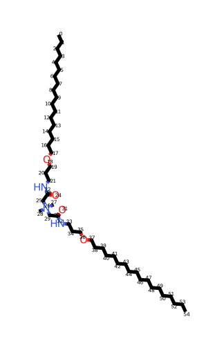 CCCCCCCCCCCCCCCCCCOCCCNC(=O)C[N+](C)(C)CC(=O)NCCCOCCCCCCCCCCCCCCCCCC